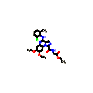 CCOC(=O)CNC(=O)c1ncc2c(Nc3c(C)cccc3Cl)nc3cc(OC)c(OC)cc3n12